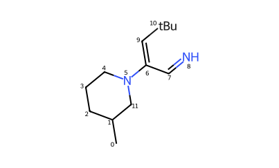 CC1CCCN(/C(C=N)=C/C(C)(C)C)C1